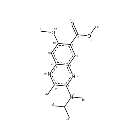 COC(=O)c1cc2nc(N(C)C(C)C)c(C)nc2cc1OC